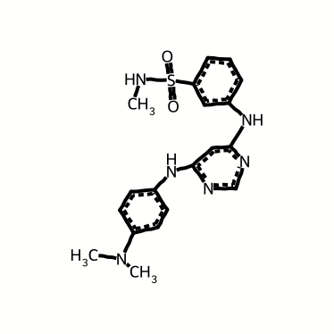 CNS(=O)(=O)c1cccc(Nc2cc(Nc3ccc(N(C)C)cc3)ncn2)c1